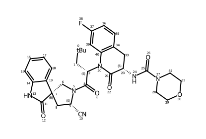 CC(C)(C)C[C@@H](C(=O)N1C[C@]2(C[C@H]1C#N)C(=O)Nc1ccccc12)N1C(=O)[C@@H](NC(=O)N2CCOCC2)Cc2ccc(F)cc21